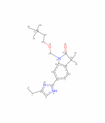 CCc1c[nH]c(-c2ccc3c(c2)N(COCC[Si](C)(C)C)C(=O)C3(C)C)n1